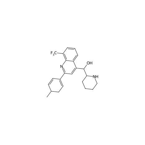 CC1C=CC(c2cc(C(O)C3CCCCN3)c3cccc(C(F)(F)F)c3n2)=CC1